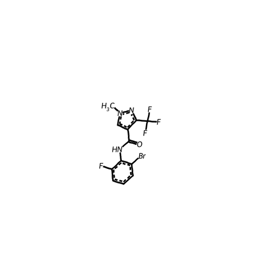 Cn1cc(C(=O)Nc2c(F)cccc2Br)c(C(F)(F)F)n1